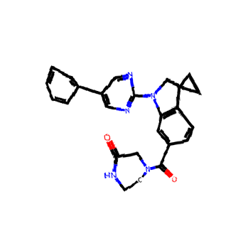 O=C1CN(C(=O)c2ccc3c(c2)N(c2ncc(-c4ccccc4)cn2)CC32CC2)CCN1